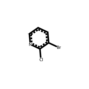 Clc1n[c]ccc1Br